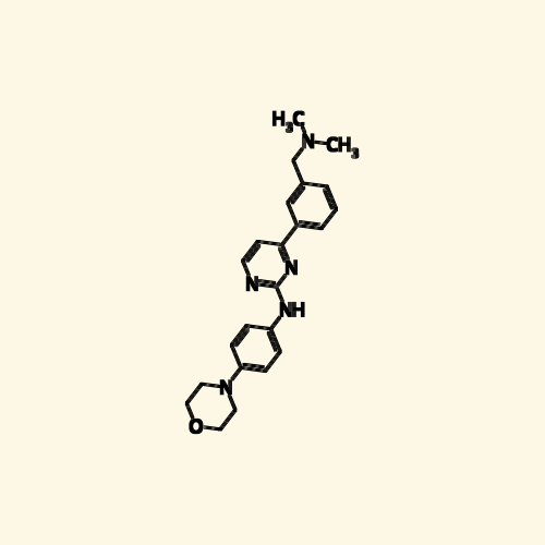 CN(C)Cc1cccc(-c2ccnc(Nc3ccc(N4CCOCC4)cc3)n2)c1